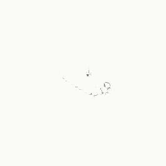 CCCCCCCCCCCCCCCC[N+](C)(C)CCCN1C(=O)c2ccccc2C1=O.F[B-](F)(F)F